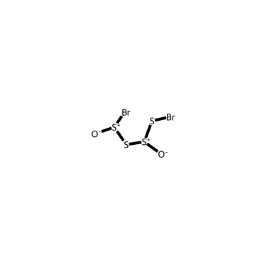 [O-][S+](Br)S[S+]([O-])SBr